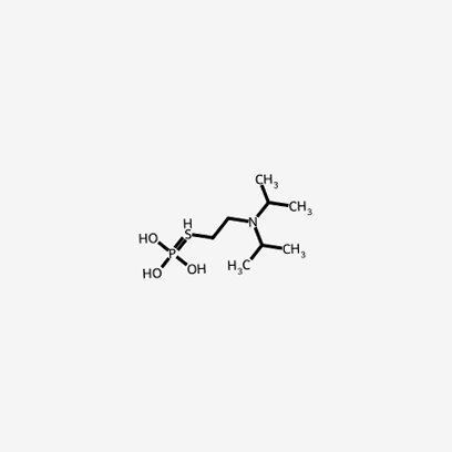 CC(C)N(CC[SH]=P(O)(O)O)C(C)C